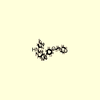 Cn1cc(Nc2ncc3nnn(-c4ccc(OCCN5CCOCC5)cc4)c3n2)cn1